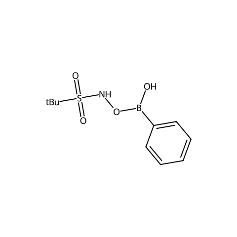 CC(C)(C)S(=O)(=O)NOB(O)c1ccccc1